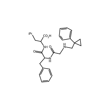 CC(C)CC(NC(=O)C(Cc1ccccc1)NC(=O)CNCC1(c2ccccc2)CC1)C(=O)O